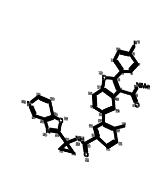 CNC(=O)c1c(-c2ccc(F)cc2)oc2ccc(-c3cc(C(=O)NC4(c5nc6cnccc6o5)CC4)ccc3C)cc12